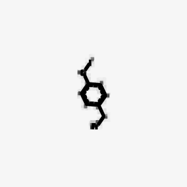 CC(C)Cc1ccc(OI)cc1